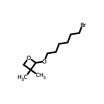 CC1(C)COC1OCCCCCCBr